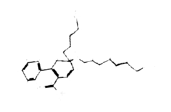 CCCCCCCCOC1(CCCCC)C=CC(C(=O)O)=C(c2ccccc2)C1